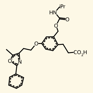 Cc1oc(-c2ccccc2)nc1CCOc1ccc(CCC(=O)O)c(COC(=O)NC(C)C)c1